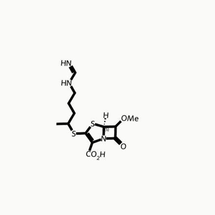 COC1C(=O)N2C(C(=O)O)=C(SC(C)CCCNC=N)S[C@@H]12